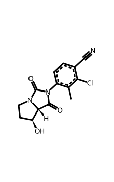 Cc1c(N2C(=O)[C@@H]3[C@@H](O)CCN3C2=O)ccc(C#N)c1Cl